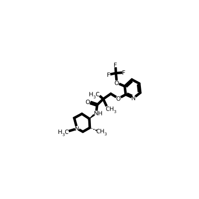 C[C@@H]1CN(C)CC[C@H]1NC(=O)C(C)(C)COc1ncccc1OC(F)(F)F